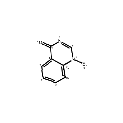 CCn1cnc(=O)c2ccccc21